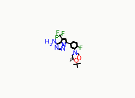 C[C@@H](CN(C=O)c1cc(-c2cc(C(F)(F)F)c3c(N)ncnn23)ccc1F)OC(C)(C)C